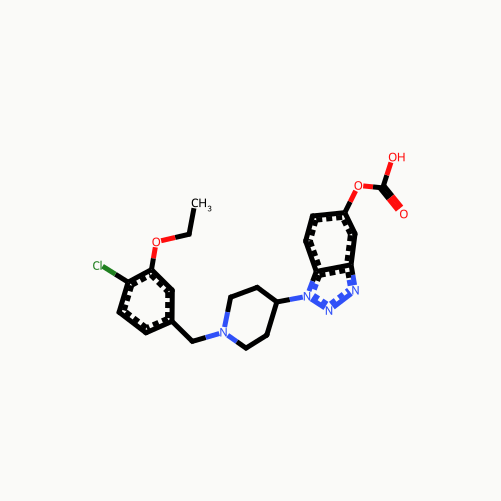 CCOc1cc(CN2CCC(n3nnc4cc(OC(=O)O)ccc43)CC2)ccc1Cl